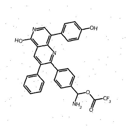 NC(OC(=O)C(F)(F)F)c1ccc(-c2nc3c(-c4ccc(O)cc4)cnc(O)c3cc2-c2ccccc2)cc1